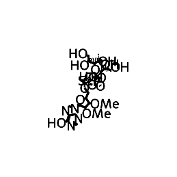 COC1C(COP(O)(=S)OP(=O)(O)OC(OC([C@H](C)O)[C@H](O)CO)[C@H](O)CO)OC(n2cnc3c(O)ncnc32)C1OC